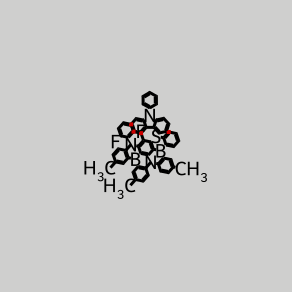 Cc1ccc2c(c1)B1c3ccccc3Sc3c1c1c4c(c3-c3cccc5c3c3ccccc3n5-c3ccccc3)N(c3c(F)cccc3F)c3ccc(C)cc3B4c3cc(C)ccc3N21